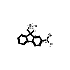 CC[C@H](C)CC1(C[C@@H](C)CC)c2ccccc2-c2ccc(B(O)O)cc21